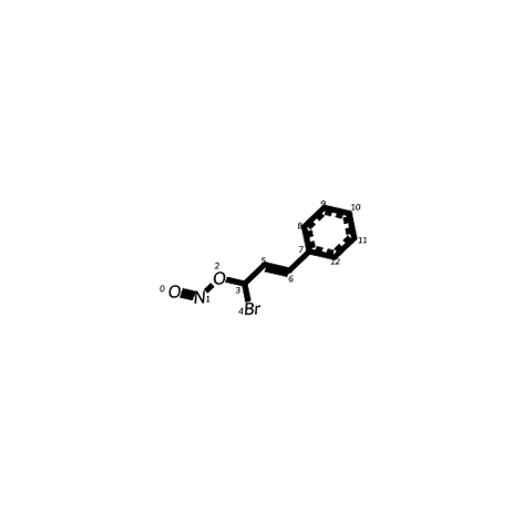 O=NOC(Br)C=Cc1ccccc1